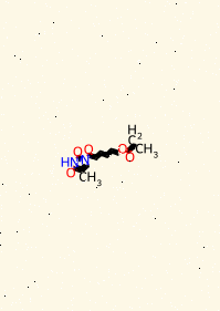 C=C(C)C(=O)OCCCCCC(=O)n1cc(C)c(=O)[nH]c1=O